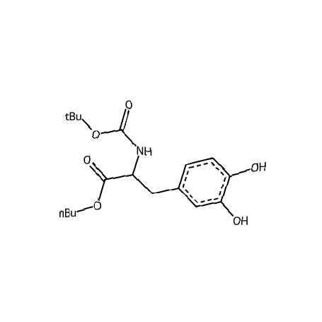 CCCCOC(=O)C(Cc1ccc(O)c(O)c1)NC(=O)OC(C)(C)C